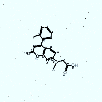 Cc1ccccc1-c1cc(=O)oc2nc(N(C)CC(=O)O)ccc12